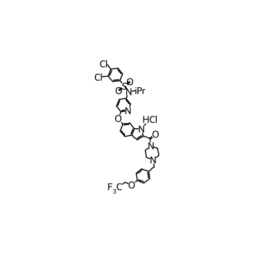 CC(C)N(c1ccc(Oc2ccc3cc(C(=O)N4CCN(Cc5ccc(OCC(F)(F)F)cc5)CC4)n(C)c3c2)nc1)S(=O)(=O)c1ccc(Cl)c(Cl)c1.Cl